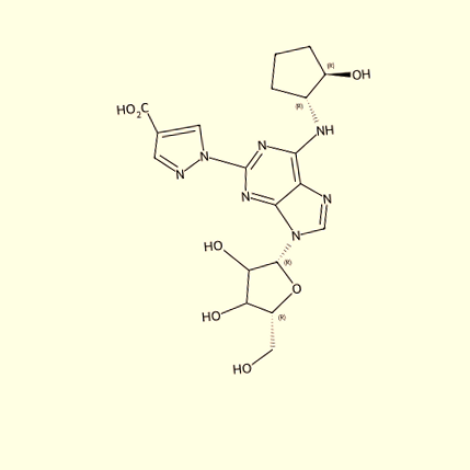 O=C(O)c1cnn(-c2nc(N[C@@H]3CCC[C@H]3O)c3ncn([C@@H]4O[C@H](CO)C(O)C4O)c3n2)c1